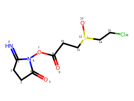 N=C1CCC(=O)N1OC(=O)CC[S+]([O-])CCCl